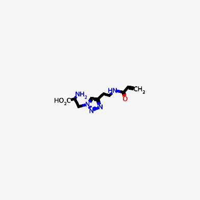 C=CC(=O)NCCc1cn(CC(N)C(=O)O)nn1